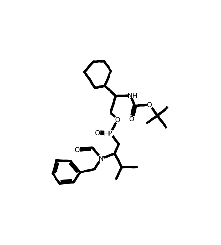 CC(C)C(C[PH](=O)OCC(NC(=O)OC(C)(C)C)C1CCCCC1)N(C=O)Cc1ccccc1